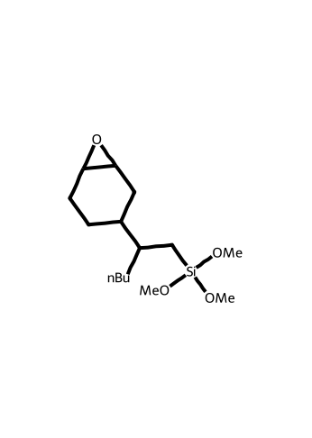 CCCCC(C[Si](OC)(OC)OC)C1CCC2OC2C1